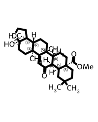 COC(=O)[C@]12CCC(C)(C)C[C@H]1[C@H]1C(=O)C=C3[C@@]4(C)CC[C@@]5(O)OCC[C@@]5(C)[C@@H]4CC[C@@]3(C)[C@]1(C)CC2